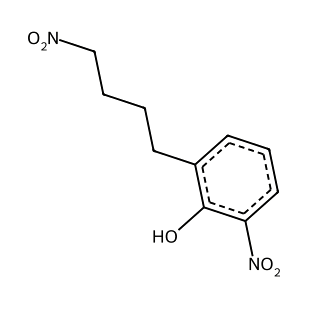 O=[N+]([O-])CCCCc1cccc([N+](=O)[O-])c1O